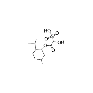 CC1CCC(C(C)C)C(OC(=O)C(O)S(=O)(=O)O)C1